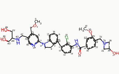 COCc1cc(N2CCc3c(-c4cccc(NC(=O)c5ccc(CN6CC(O)C6)c(OC)c5)c4Cl)cccc32)ncc1CNC(CO)CO